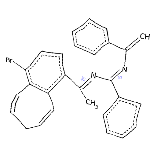 C=C(/N=C(\N=C(/C)c1ccc(Br)c2c1C=CCC=C2)c1ccccc1)c1ccccc1